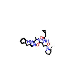 CC(NC(=O)C(CC(=O)N1CCCC[C@@H]1C)NC(=O)CC1CC1)c1ncc(Cc2ccccc2)[nH]1